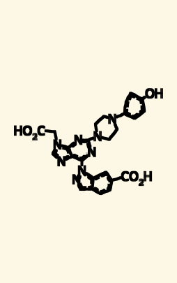 O=C(O)Cn1cnc2c(-n3ncc4ccc(C(=O)O)cc43)nc(N3CCN(c4ccc(O)cc4)CC3)nc21